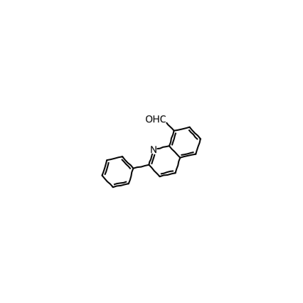 O=Cc1cccc2ccc(-c3ccccc3)nc12